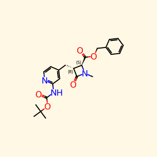 CN1C(=O)[C@H](Cc2ccnc(NC(=O)OC(C)(C)C)c2)[C@H]1C(=O)OCc1ccccc1